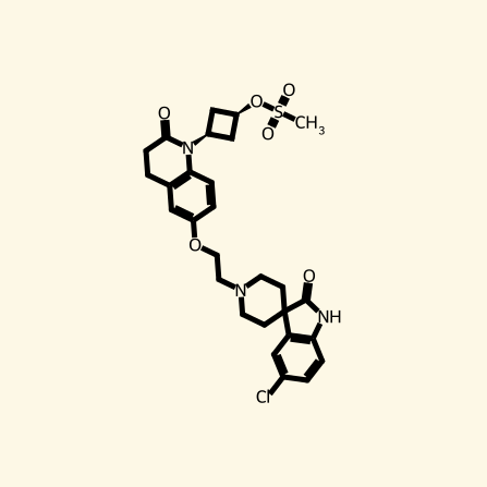 CS(=O)(=O)O[C@H]1C[C@@H](N2C(=O)CCc3cc(OCCN4CCC5(CC4)C(=O)Nc4ccc(Cl)cc45)ccc32)C1